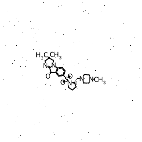 CN1CCN(C[C@@H]2CCCN2S(=O)(=O)c2ccc3c(c2)C(=O)C2=NCC(C)(C)CN23)CC1